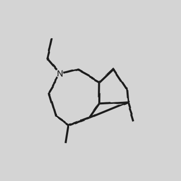 CCN1CCC(C)C2C3C(CCC23C)C1